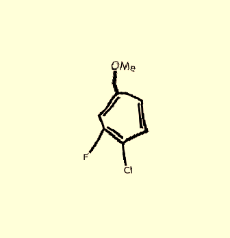 COc1ccc(Cl)c(F)c1